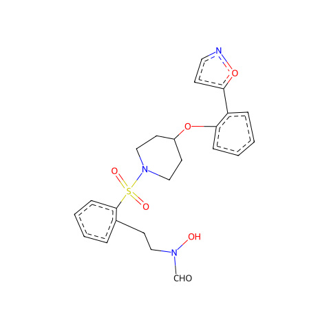 O=CN(O)CCc1ccccc1S(=O)(=O)N1CCC(Oc2ccccc2-c2ccno2)CC1